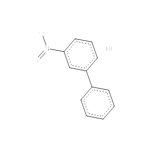 I.O=[N+]([O-])c1cccc(-c2ccccc2)c1